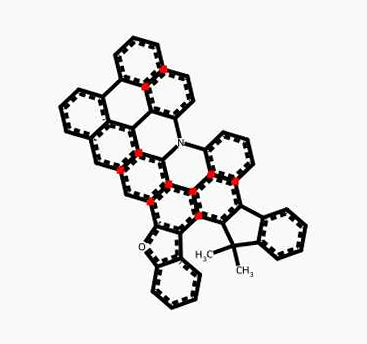 CC1(C)c2ccccc2-c2ccc(-c3ccccc3N(c3ccccc3-c3ccc4oc5ccccc5c4c3)c3ccccc3-c3cccc4cccc(-c5ccccc5)c34)cc21